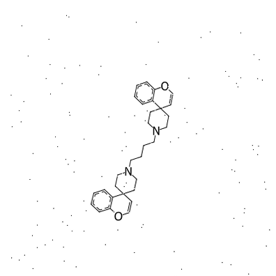 C1=CC2(CCN(CCCCN3CCC4(C=COc5ccccc54)CC3)CC2)c2ccccc2O1